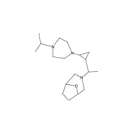 CC(C)N1CCN(C2CC2C(C)N2CC3CCC(C2)O3)CC1